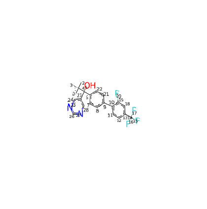 CC(C)(C)C(O)(c1ccc(-c2ccc(C(F)(F)F)cc2F)cc1)c1cncnc1